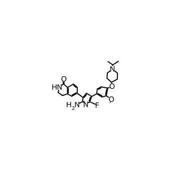 COc1cc(-c2cc(-c3ccc4c(c3)CCNC4=O)c(N)nc2F)ccc1OC1CCN(C(C)C)CC1